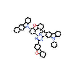 CN1C(c2ccc3c4ccccc4n(-c4ccccc4)c3c2)=NC(c2ccc3oc4ccccc4c3c2)=NC1c1ccc(-n2c3ccccc3c3cc4ccccc4cc32)c2oc3ccccc3c12